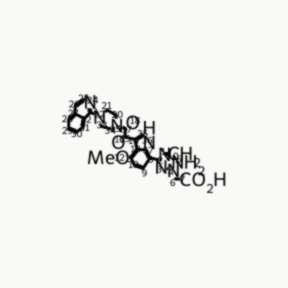 C=N/C(=N\N(N)CC(=O)O)c1ccc(OC)c2c(C(=O)C(=O)N3CCN(c4nccc5ccccc45)CC3)c[nH]c12